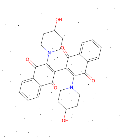 O=C1C(C2=C(N3CCC(O)CC3)C(=O)c3ccccc3C2=O)=C(N2CCC(O)CC2)C(=O)c2ccccc21